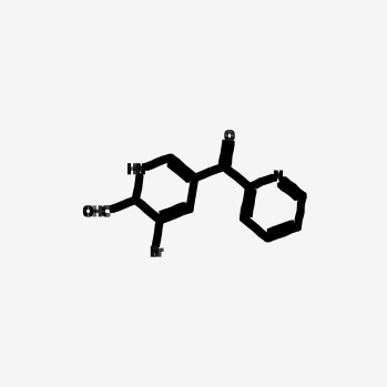 O=CC1NC=C(C(=O)c2ccccn2)C=C1Br